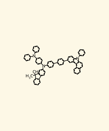 CC1(C)c2ccccc2-c2ccc(N(c3ccc(-c4ccc(-c5ccc6c(c5)c5c7ccccc7ccc5n6-c5ccccc5)cc4)cc3)c3ccc(N(c4ccccc4)c4ccccc4)cc3)cc21